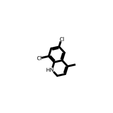 CC1=CCNc2c(Cl)cc(Cl)cc21